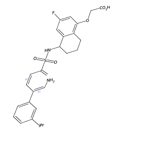 C=C(/C=C\C(=C/N)c1cccc(C(C)C)c1)S(=O)(=O)NC1CCCc2c(OCC(=O)O)cc(F)cc21